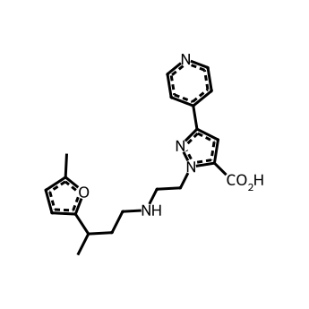 Cc1ccc(C(C)CCNCCn2nc(-c3ccncc3)cc2C(=O)O)o1